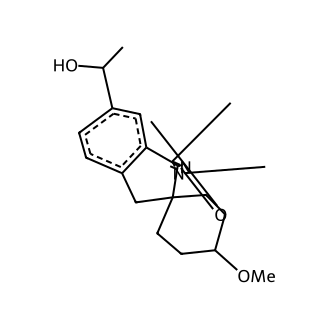 COC1CCC2(CC1)Cc1ccc(C(C)O)cc1C21N=C(C)N(C)C1=O